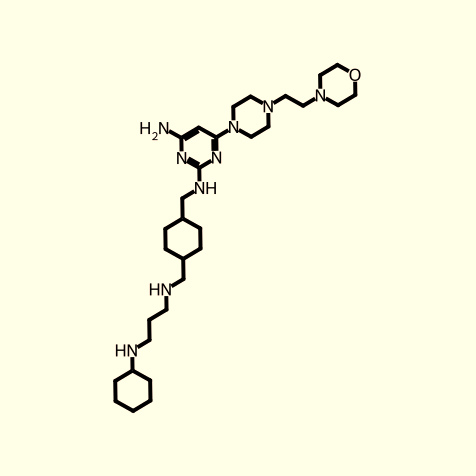 Nc1cc(N2CCN(CCN3CCOCC3)CC2)nc(NCC2CCC(CNCCCNC3CCCCC3)CC2)n1